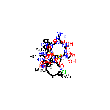 COc1cc2cc(c1Cl)N(C)C(=O)C[C@H](OC(=O)[C@H](C)N(C)C(=O)CCSSC[C@H](NC(C)=O)C(=O)N[C@@H](CC(=O)O)C(=O)NC(CC(=O)O)C(=O)N[C@H](Cc1ccccc1)C(=O)N[C@H]1CSSC[C@@H](C(=O)N[C@H](CO)[C@@H](C)O)NC(=O)[C@H]([C@@H](C)O)NC(=O)[C@H](CCCCN)NC(=O)[C@@H](Cc3c[nH]c4ccccc34)NC(=O)[C@H](Cc3ccccc3)NC1=O)[C@]1(C)O[C@H]1[C@H](C)[C@@H]1C[C@@](O)(NC(=O)O1)[C@H](OC)/C=C/CC(C)C2